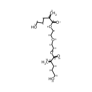 C=C(CCCO)C(=O)OCCOCCOC(=O)C(=C)CCCO